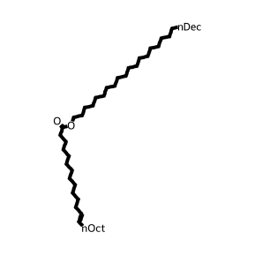 CCCCCCCCC=CCCCCCCCCCCCC(=O)OCCCCCCCCCCCCCCCCCCCCCCCCCCCCC